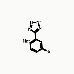 Brc1cccc(-c2nn[n-]n2)c1.[Na+]